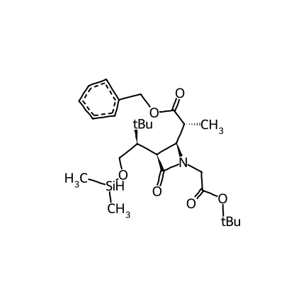 C[C@@H](C(=O)OCc1ccccc1)[C@@H]1[C@H]([C@@H](CO[SiH](C)C)C(C)(C)C)C(=O)N1CC(=O)OC(C)(C)C